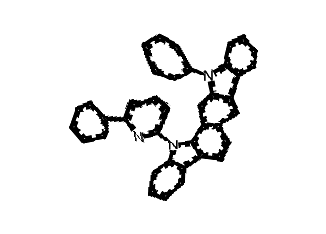 c1ccc(-c2cccc(-n3c4ccccc4c4ccc5cc6c7ccccc7n(-c7ccccc7)c6cc5c43)n2)cc1